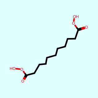 O=C(CCCCCCCCCC(=O)OO)OO